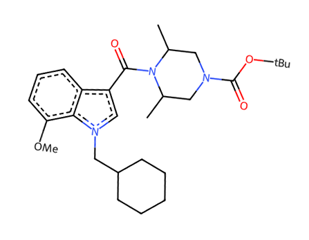 COc1cccc2c(C(=O)N3C(C)CN(C(=O)OC(C)(C)C)CC3C)cn(CC3CCCCC3)c12